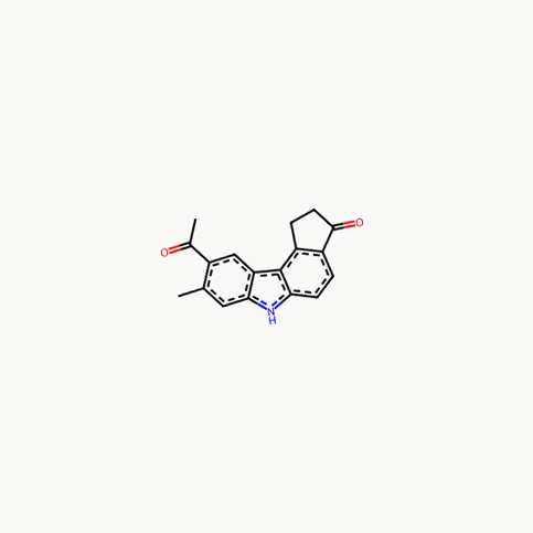 CC(=O)c1cc2c(cc1C)[nH]c1ccc3c(c12)CCC3=O